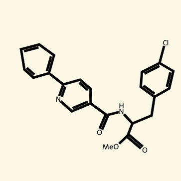 COC(=O)C(Cc1ccc(Cl)cc1)NC(=O)c1ccc(-c2ccccc2)nc1